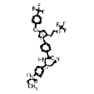 CCS(=O)(=O)c1ccc([C@H](CC#N)NC(=O)c2ccc(N3C[C@@H](Oc4ccc(C(F)(F)F)cc4)C[C@H]3CCOC(F)(F)F)cc2)cc1